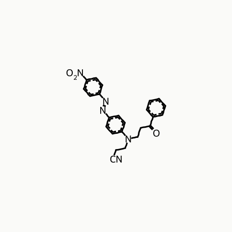 N#CCCN(CCC(=O)c1ccccc1)c1ccc(N=Nc2ccc([N+](=O)[O-])cc2)cc1